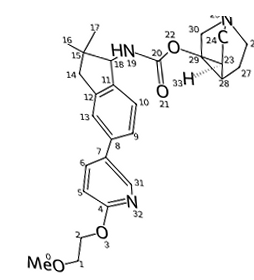 COCCOc1ccc(-c2ccc3c(c2)CC(C)(C)C3NC(=O)O[C@H]2CN3CCC2CC3)cn1